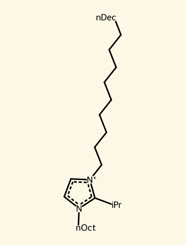 CCCCCCCCCCCCCCCCCCC[n+]1ccn(CCCCCCCC)c1C(C)C